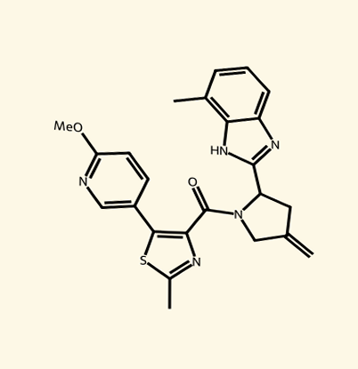 C=C1CC(c2nc3cccc(C)c3[nH]2)N(C(=O)c2nc(C)sc2-c2ccc(OC)nc2)C1